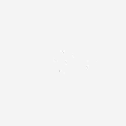 C[S+]([O-])c1cccc(-c2nc(N)nc(Nc3ccnc(C(F)(F)F)c3)n2)c1